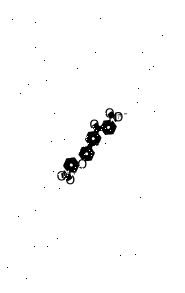 O=C(c1ccc(-c2ccc(Oc3cccc([N+](=O)[O-])c3)cc2)cc1)c1cccc([N+](=O)[O-])c1